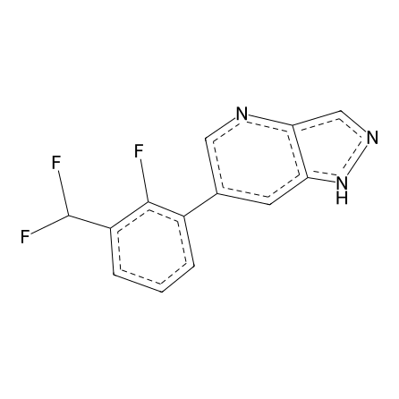 Fc1c(-c2cnc3cn[nH]c3c2)cccc1C(F)F